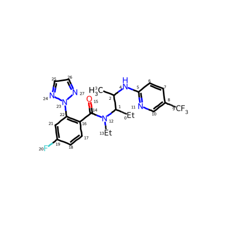 CCC(C(C)Nc1ccc(C(F)(F)F)cn1)N(CC)C(=O)c1ccc(F)cc1-n1nccn1